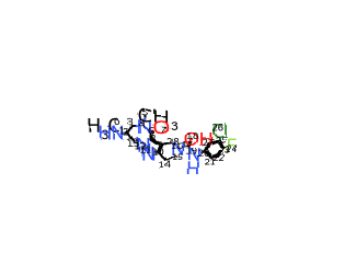 CNC1CN(C)C(=O)c2c3c(nn2C1)CCN(C(O)Nc1ccc(F)c(Cl)c1)C3